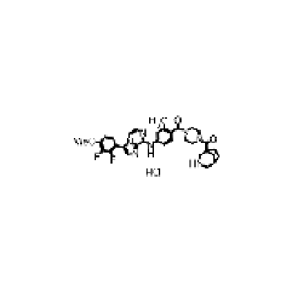 COc1ccc(-c2cnc3c(Nc4ccc(C(=O)N5CCN(C(=O)C67CCC(CNC6)C7)CC5)c(C)c4)nccn23)c(F)c1F.Cl